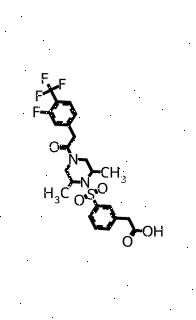 CC1CN(C(=O)Cc2ccc(C(F)(F)F)c(F)c2)CC(C)N1S(=O)(=O)c1cccc(CC(=O)O)c1